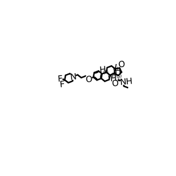 CCNC(=O)[C@H]1CC(=O)[C@@]2(C)CC[C@@H]3c4ccc(OCCCN5CCC(F)(F)CC5)cc4CC[C@H]3[C@H]12